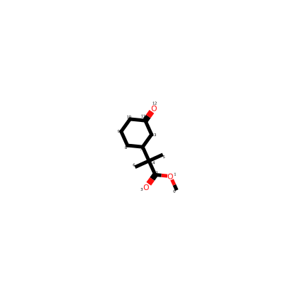 COC(=O)C(C)(C)C1CCCC(=O)C1